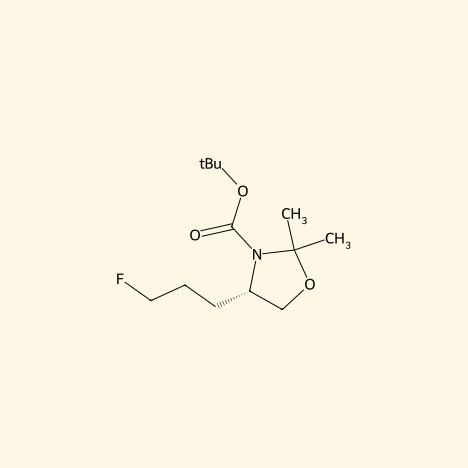 CC(C)(C)OC(=O)N1[C@@H](CCCF)COC1(C)C